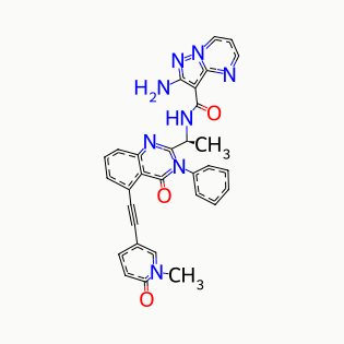 C[C@H](NC(=O)c1c(N)nn2cccnc12)c1nc2cccc(C#Cc3ccc(=O)n(C)c3)c2c(=O)n1-c1ccccc1